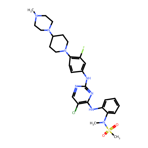 CN1CCN(C2CCN(c3ccc(Nc4ncc(Cl)c(Nc5ccccc5N(C)S(C)(=O)=O)n4)cc3F)CC2)CC1